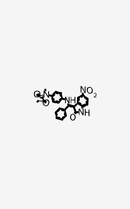 CN(c1ccc(NC(=C2C(=O)Nc3ccc([N+](=O)[O-])cc32)c2ccccc2)cc1)S(C)(=O)=O